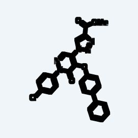 COC(=O)c1cn(-c2cnn(-c3ccc(Cl)cc3)c(=O)c2Oc2ccc(-c3ccccc3)cc2)nn1